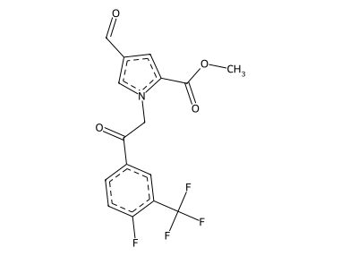 COC(=O)c1cc(C=O)cn1CC(=O)c1ccc(F)c(C(F)(F)F)c1